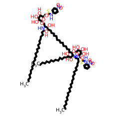 CCCCCCCCCCCCCCCCCCCCCCCCCCNC(CO[C@H]1O[C@H](COC(=S)Nc2ccc([N+](=O)[O-])cc2)[C@H](O)[C@H](O)[C@H]1O)C(O)C(O)CCCCCCCCCCCCCCC(O[C@H]1O[C@H](COC(=S)Nc2ccccc2[N+](=O)[O-])[C@H](O)[C@H](O)[C@H]1O)[C@@H](NCCCCCCCCCCCCCCCCCCCCCCCCCC)[C@H](O)[C@H](O)CCCCCCCCCCCCCC